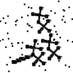 O=P([O-])([O-])OP(=O)([O-])[O-].O=P([O-])([O-])OP(=O)([O-])[O-].O=P([O-])([O-])OP(=O)([O-])[O-].[Nb+3].[Nb+3].[Nb+3].[Nb+3]